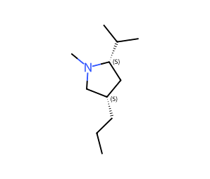 CCC[C@H]1C[C@@H](C(C)C)N(C)C1